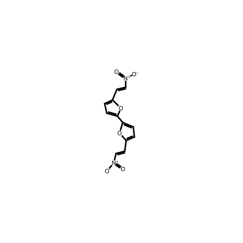 O=[N+]([O-])C=Cc1ccc(-c2ccc(C=C[N+](=O)[O-])o2)o1